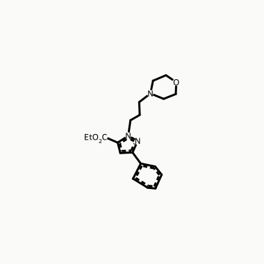 CCOC(=O)c1cc(-c2ccccc2)nn1CCCN1CCOCC1